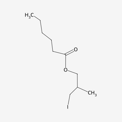 CCCCCC(=O)OCC(C)CI